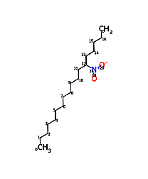 CCCCCCCCCCCCC(CCCCC)[N+](=O)[O-]